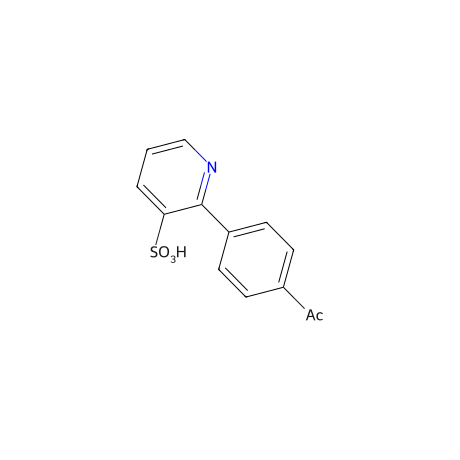 CC(=O)c1ccc(-c2ncccc2S(=O)(=O)O)cc1